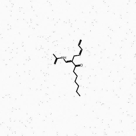 C=C/C=C\C/C(=C\NC(=C)C)C(=O)CCCCCC